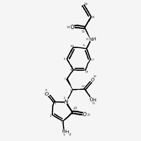 BC1=CC(=O)N([C@@H](Cc2ccc(NC(=O)C=C)cc2)C(=O)O)C1=O